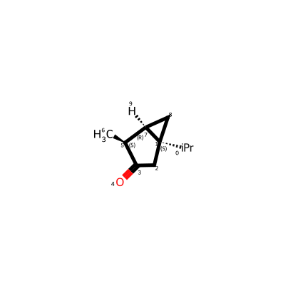 CC(C)[C@]12CC(=O)[C@@H](C)[C@H]1C2